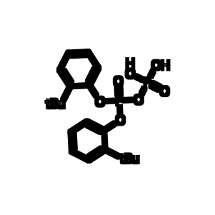 CC(C)(C)c1ccccc1OP(=O)(Oc1ccccc1C(C)(C)C)OP(=O)(O)O